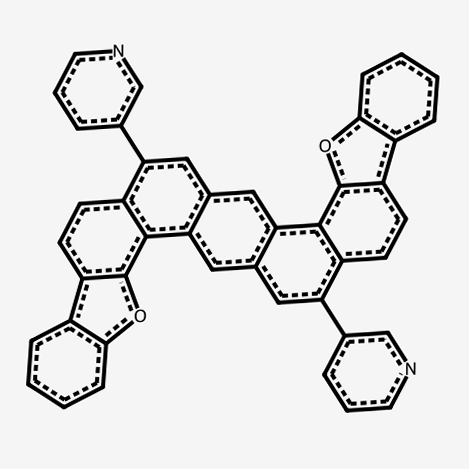 c1cncc(-c2cc3cc4c(cc(-c5cccnc5)c5ccc6c7ccccc7oc6c54)cc3c3c2ccc2c4ccccc4oc23)c1